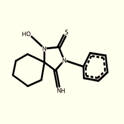 N=C1N(c2ccccc2)C(=S)N(O)C12CCCCC2